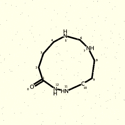 O=C1CCCNCNCCCNN1